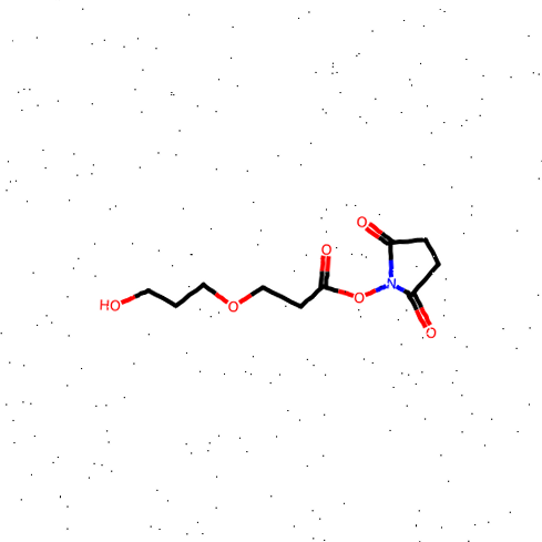 O=C(CCOCCCO)ON1C(=O)CCC1=O